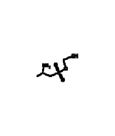 CC(N)CS(=O)(=O)OCO